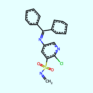 C=NS(=O)(=O)c1cc(N=C(c2ccccc2)c2ccccc2)cnc1Cl